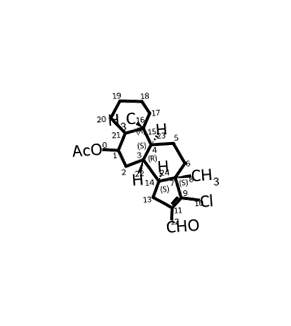 CC(=O)OC1C[C@@H]2[C@H](CC[C@]3(C)C(Cl)=C(C=O)C[C@@H]23)[C@@]2(C)CCCCC12